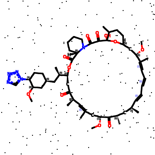 CO[C@H]1C[C@@H]2CCC(C)C(O)(O2)C(=O)C(=O)N2CCCC[C@H]2C(=O)O[C@H]([C@H](C)C[C@@H]2CC[C@H](n3cnnn3)[C@H](OC)C2)CC(=O)[C@H](C)/C=C(\C)C[C@@H](OC)C(=O)[C@@H](C)C[C@H](C)/C=C/C=C/C=C/1C